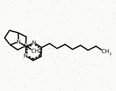 CCCCCCCCc1ccnc(N2C3CCC2CN(C)C3)n1